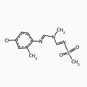 Cc1cc(Cl)ccc1N=CN(C)C=NS(C)(=O)=O